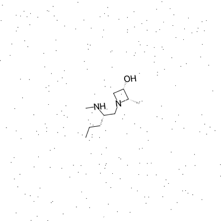 CCC[C@@H](CN1C[C@H](O)[C@@H]1C)NC